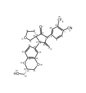 N#Cc1ccc(N2C(=O)[C@@]3(CCOC3)N(c3ccc4c(c3)OC[C@H](CO)O4)C2=S)cc1C(F)(F)F